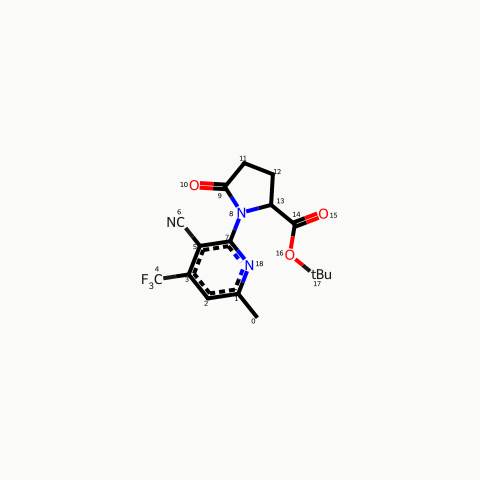 Cc1cc(C(F)(F)F)c(C#N)c(N2C(=O)CCC2C(=O)OC(C)(C)C)n1